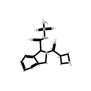 CS(=O)(=O)NC(=O)C1c2ccccc2CN1C(=O)C1COC1